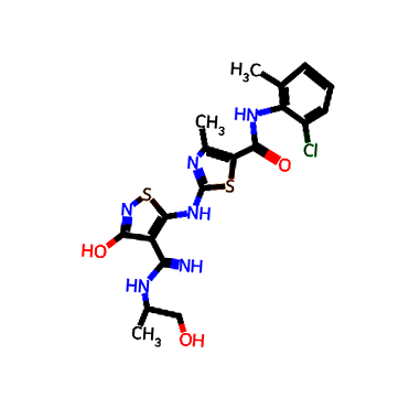 Cc1cccc(Cl)c1NC(=O)c1sc(Nc2snc(O)c2C(=N)NC(C)CO)nc1C